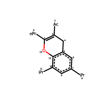 CCCC1=C(C(C)=O)Cc2cc(C(C)C)cc(C(C)C)c2O1